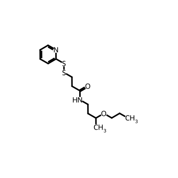 CCCOC(C)CCNC(=O)CCSSc1ccccn1